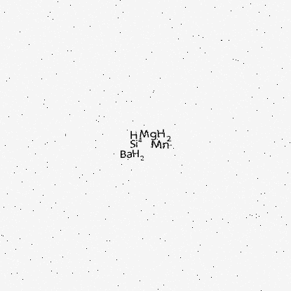 [BaH2].[MgH2].[Mn].[SiH4]